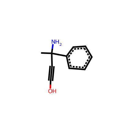 CC(N)(C#CO)c1ccccc1